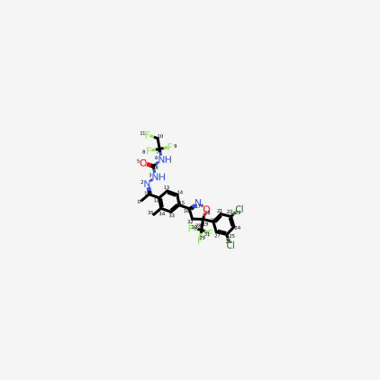 C/C(=N/NC(=O)NC(F)(F)CF)c1ccc(C2=NOC(c3cc(Cl)cc(Cl)c3)(C(F)(F)F)C2)cc1C